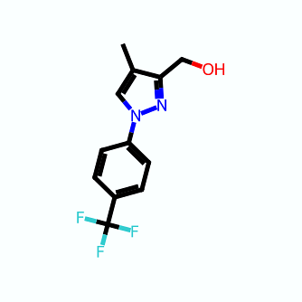 Cc1cn(-c2ccc(C(F)(F)F)cc2)nc1CO